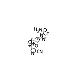 N#Cc1cncc([C@@H]2CCON2C(=O)C2(F)CCN(c3ncc(F)c(C(N)=O)n3)CC2)c1